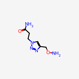 NOCc1cn(CCC(N)=O)nn1